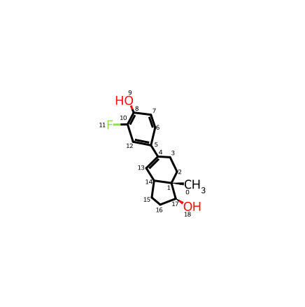 C[C@]12CCC(c3ccc(O)c(F)c3)=CC1CC[C@@H]2O